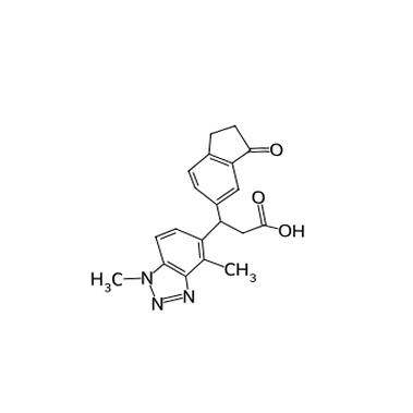 Cc1c(C(CC(=O)O)c2ccc3c(c2)C(=O)CC3)ccc2c1nnn2C